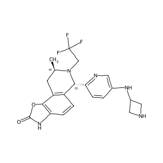 C[C@@H]1Cc2c(ccc3[nH]c(=O)oc23)[C@@H](c2ccc(NC3CNC3)cn2)N1CC(F)(F)F